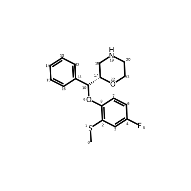 CSc1cc(F)ccc1OC(c1ccccc1)[C@@H]1CNCCO1